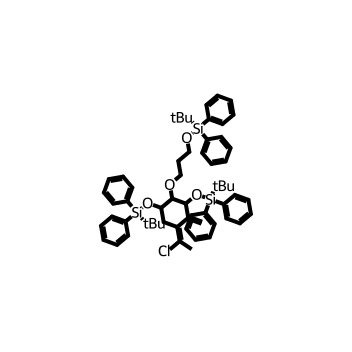 C=C1C(=C(C)Cl)CC(O[Si](c2ccccc2)(c2ccccc2)C(C)(C)C)C(OCCCO[Si](c2ccccc2)(c2ccccc2)C(C)(C)C)C1O[Si](c1ccccc1)(c1ccccc1)C(C)(C)C